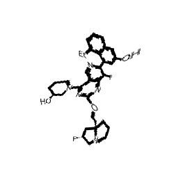 CCc1cccc2cc(O)cc(-c3ncc4c(N5CCC[C@H](O)C5)nc(OC[C@@]56CCCN5C[C@H](F)C6)nc4c3F)c12